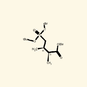 COC(=O)[C@@H](C)[C@@H](C)CP(=O)(OC(C)(C)C)OC(C)(C)C